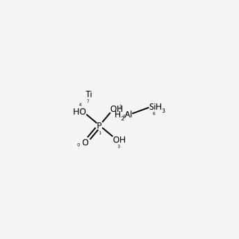 O=P(O)(O)O.[AlH2][SiH3].[Ti]